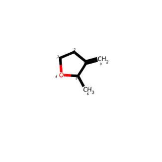 C=C1CCOC1C